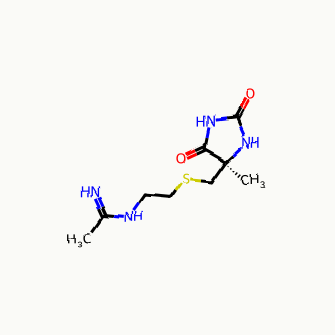 CC(=N)NCCSC[C@]1(C)NC(=O)NC1=O